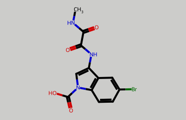 CNC(=O)C(=O)Nc1cn(C(=O)O)c2ccc(Br)cc12